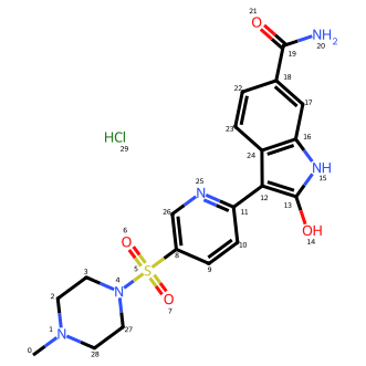 CN1CCN(S(=O)(=O)c2ccc(-c3c(O)[nH]c4cc(C(N)=O)ccc34)nc2)CC1.Cl